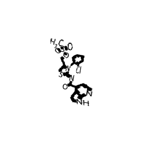 CS(=O)(=O)OCc1cs/c(=N\C(=O)c2ccnc3[nH]ccc23)n1-c1ccccc1Cl